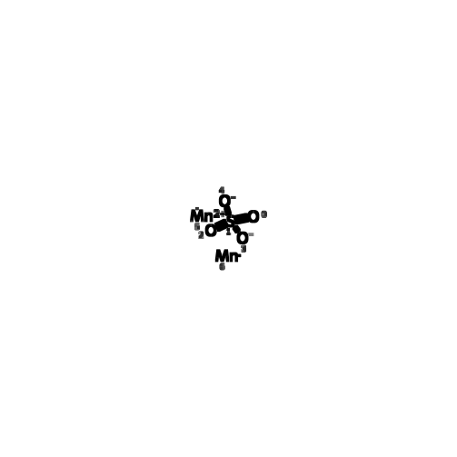 O=S(=O)([O-])[O-].[Mn+2].[Mn]